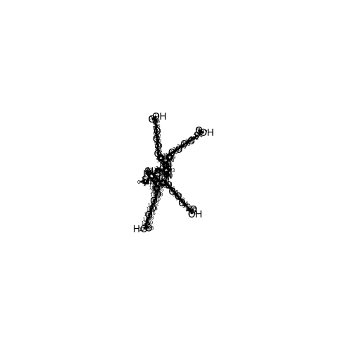 Cc1ccc(-c2c3nsnc3c(-c3ccc(-c4c5nsnc5c(C)c5nc(-c6ccc(OCCOCCOCCOCCSCC(=O)O)cc6)c(-c6ccc(OCCOCCOCCOCCSCC(=O)O)cc6)nc45)s3)c3nc(-c4ccc(OCCOCCOCCOCCSCC(=O)O)cc4)c(-c4ccc(OCCOCCOCCOCCSCC(=O)O)cc4)nc23)s1